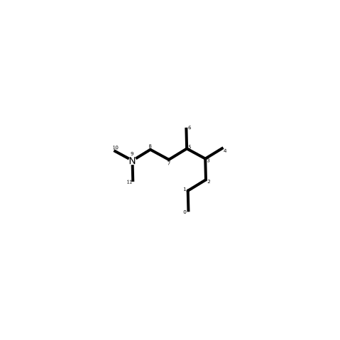 CCCC(C)C(C)CCN(C)C